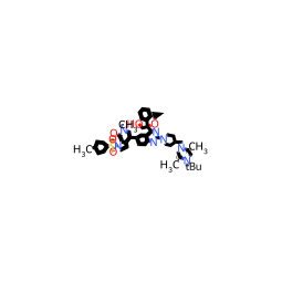 Cc1ccc(S(=O)(=O)n2ccc3c(-c4ccc5nc(N6CCC(CN7C[C@@H](C)N(C(C)(C)C)C[C@@H]7C)CC6)nc(C(CO)(OC6CC6)c6ccccc6)c5c4)cn(C)c(=O)c32)cc1